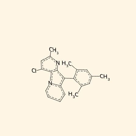 Cc1cc(C)c(-c2c3nc(C)cc(Cl)c3n3ccccc23)c(C)c1